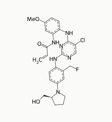 C=CC(=O)Nc1cc(OC)ccc1Nc1nc(Nc2ccc(N3CCC[C@H]3CO)cc2CF)ncc1Cl